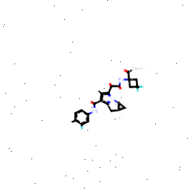 CNC(=O)C1(NC(=O)C(=O)c2c(C)c(C(=O)Nc3ccc(C)c(F)c3)c3n2[C@H]2C[C@H]2C3)CC(F)(F)C1